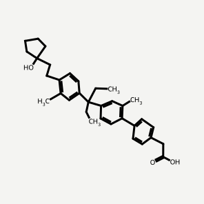 CCC(CC)(c1ccc(CCC2(O)CCCC2)c(C)c1)c1ccc(-c2ccc(CC(=O)O)cc2)c(C)c1